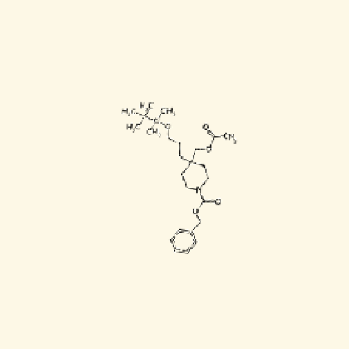 CC(=O)OCC1(CCCO[Si](C)(C)C(C)(C)C)CCN(C(=O)OCc2ccccc2)CC1